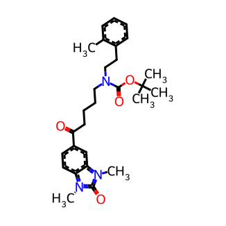 Cc1ccccc1CCN(CCCCC(=O)c1ccc2c(c1)n(C)c(=O)n2C)C(=O)OC(C)(C)C